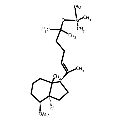 CO[C@H]1CCC[C@]2(C)[C@@H](C(C)=CCCC(C)(C)O[Si](C)(C)C(C)(C)C)CC[C@@H]12